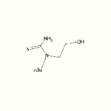 CCCCN(CCO)C(N)=S